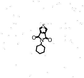 O=C1c2cscc2C(=O)N1C1CCCCC1